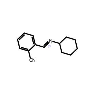 N#Cc1ccccc1/C=N/C1CCCCC1